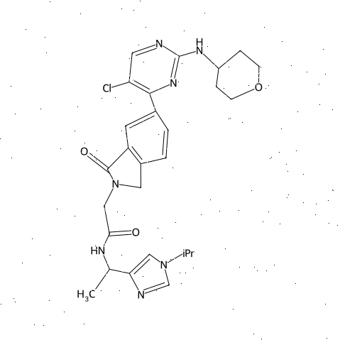 CC(NC(=O)CN1Cc2ccc(-c3nc(NC4CCOCC4)ncc3Cl)cc2C1=O)c1cn(C(C)C)cn1